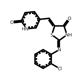 O=C1N/C(=N/c2ccccc2Cl)S/C1=C\c1ccc(=O)[nH]c1